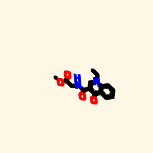 CCn1cc(C(=O)NCC(=O)OC)c(=O)c2ccccc21